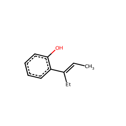 CC=C(CC)c1ccccc1O